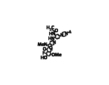 C=CC(=O)Nc1cc(N2CCN(C3CC3)CC2)ccc1Nc1cc2c(NC)c(C(=O)c3c(F)c(O)cc(OC)c3F)oc2cn1